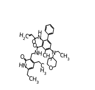 C=CC(=O)Nc1c(-c2ccccc2)cc(N(CC)C2CCOCC2)c(C)c1C(=O)NCc1c(CC)cc(CC)[nH]c1=O